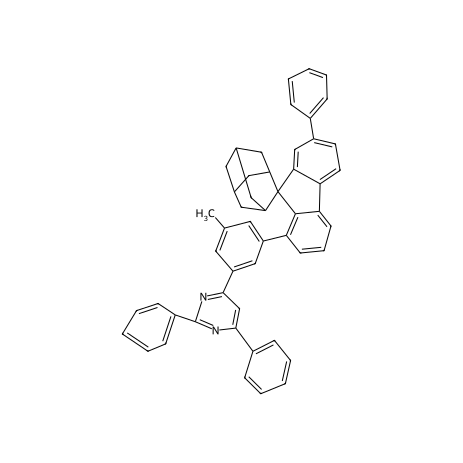 Cc1cc(-c2cc(-c3ccccc3)nc(-c3ccccc3)n2)cc(-c2cccc3c2C2(c4cc(-c5ccccc5)ccc4-3)C3CC4CC(C3)CC2C4)c1